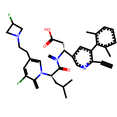 C#Cc1ncc([C@@H](CC(=O)O)[N+](=C)C(=O)[C@@H](CC(C)C)N2C=C(CCN3CC(F)C3)C=C(F)C2=C)cc1-c1c(C)cccc1C